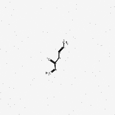 [CH2]/C=C/CC(=O)C=C